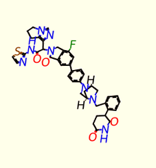 O=C1CCC(c2ccccc2CN2C[C@H]3C[C@@H]2CN3c2ccc(-c3cc(F)c4c(c3)C(=O)N(C(C(=O)Nc3nccs3)c3ncn5c3CCC5)C4)cc2)C(=O)N1